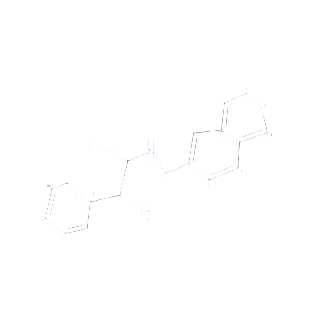 CC(NCc1ccc2ccccc2c1)C(O)c1ccccc1